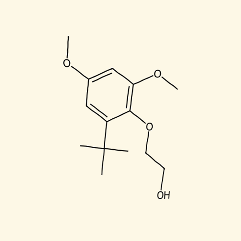 COc1cc(OC)c(OCCO)c(C(C)(C)C)c1